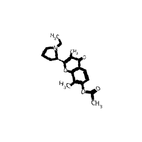 CCN1CCC[C@@H]1c1oc2c(C)c(OC(C)=O)ccc2c(=O)c1C